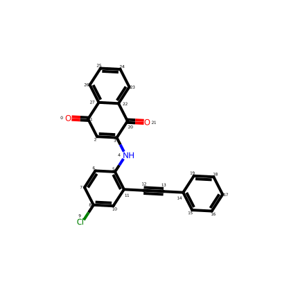 O=C1C=C(Nc2ccc(Cl)cc2C#Cc2ccccc2)C(=O)c2ccccc21